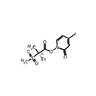 CC[C@](C)(C(=O)On1ccc(I)cc1=O)S(C)(=O)=O